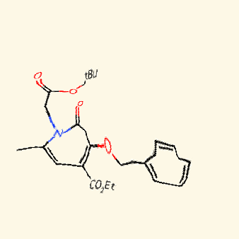 CCOC(=O)c1cc(C)n(CC(=O)OC(C)(C)C)c(=O)c1OCc1ccccc1